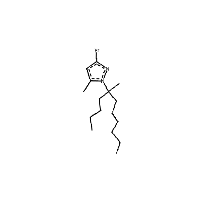 CCCCCCC(C)(CCCC)n1nc(Br)cc1C